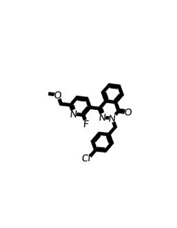 COCc1ccc(-c2nn(Cc3ccc(Cl)cc3)c(=O)c3ccccc23)c(F)n1